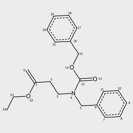 C=C(CCN(Cc1ccccc1)C(=O)OCc1ccccc1)OCC